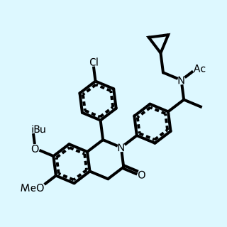 CCC(C)Oc1cc2c(cc1OC)CC(=O)N(c1ccc(C(C)N(CC3CC3)C(C)=O)cc1)C2c1ccc(Cl)cc1